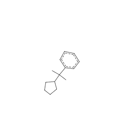 CC(C)(c1ccccc1)C1CCCC1